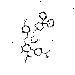 COC(=O)C1=C(C)N=C(SCc2ccc(OC)cc2)N(N(C=O)CCCN2CCC(c3ccccc3)(c3ccccc3)CC2)C1c1ccc([N+](=O)[O-])cc1